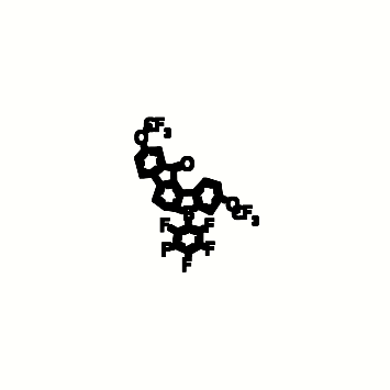 O=C1c2cc(OC(F)(F)F)ccc2-c2ccc3c(c21)-c1ccc(OC(F)(F)F)cc1B3c1c(F)c(F)c(F)c(F)c1F